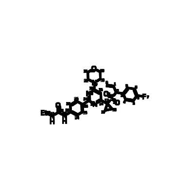 C=CC(c1ccc(F)cc1)S(=O)(=O)C1(c2cc(N3CCOCC3)nc(-c3ccc(NC(=O)NCC)cc3)n2)CC1